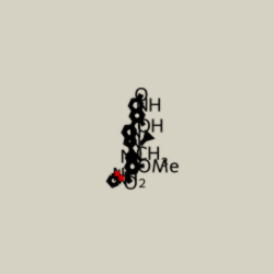 COc1cc(C(=O)N2CC3CCC2[C@@H]3N)cc2nc(-c3cc4ccc(-c5cc6c(cc5O)NC(=O)CC6)nc4n3CC3CC3)n(C)c12